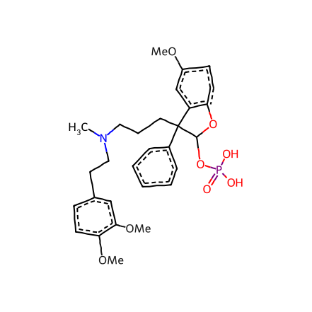 COc1ccc2c(c1)C(CCCN(C)CCc1ccc(OC)c(OC)c1)(c1ccccc1)C(OP(=O)(O)O)O2